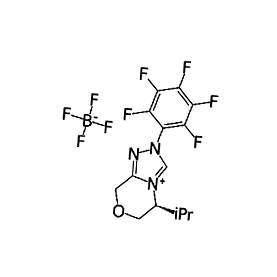 CC(C)[C@H]1COCc2nn(-c3c(F)c(F)c(F)c(F)c3F)c[n+]21.F[B-](F)(F)F